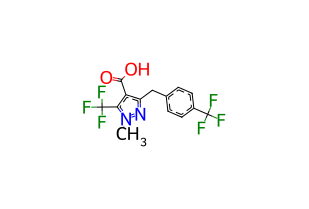 Cn1nc(Cc2ccc(C(F)(F)F)cc2)c(C(=O)O)c1C(F)(F)F